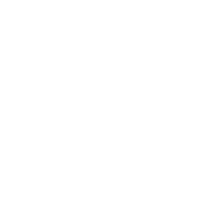 O=C(O)C(Oc1ccc(C2CCOc3ccccc32)cc1)c1ccccc1Cl